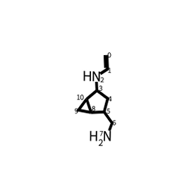 C=CNC1CC(CN)C2CC12